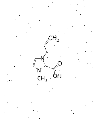 C=CCN1C=CN(C)C1C(=O)O